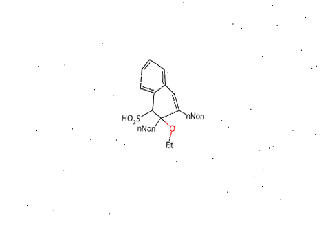 CCCCCCCCCC1=Cc2ccccc2C(S(=O)(=O)O)C1(CCCCCCCCC)OCC